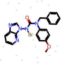 COc1ccc(N(Cc2ccccc2)C(=O)N(Br)n2cnc3cccnc32)cc1